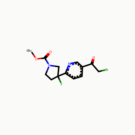 CC(C)(C)OC(=O)N1CCC(F)(c2ccc(C(=O)CBr)cn2)C1